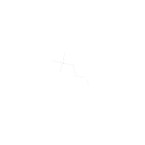 C[N+](C)(C)CC[O][Cu]